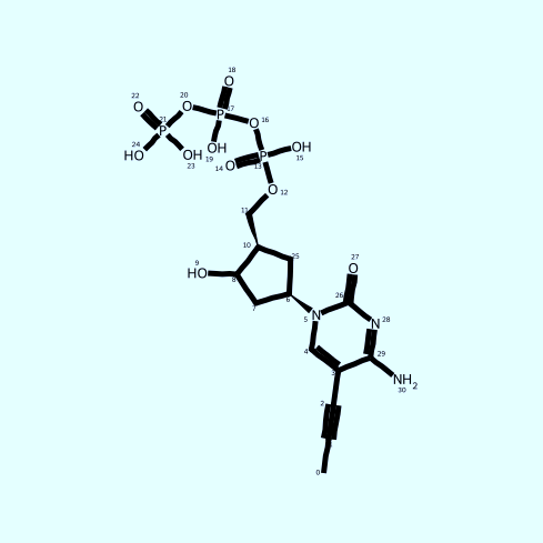 CC#Cc1cn([C@H]2CC(O)[C@@H](COP(=O)(O)OP(=O)(O)OP(=O)(O)O)C2)c(=O)nc1N